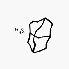 C1C2CC3CC1CC(C2)C3.S